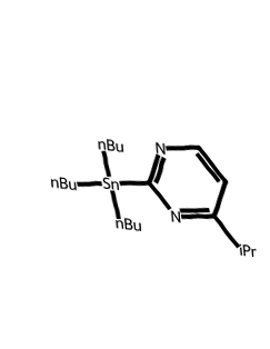 CCC[CH2][Sn]([CH2]CCC)([CH2]CCC)[c]1nccc(C(C)C)n1